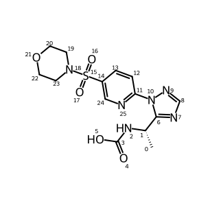 C[C@H](NC(=O)O)c1ncnn1-c1ccc(S(=O)(=O)N2CCOCC2)cn1